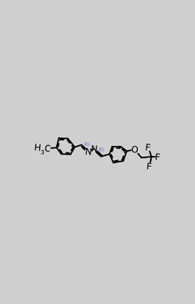 Cc1ccc(/C=N/N=C/c2ccc(OCC(F)(F)F)cc2)cc1